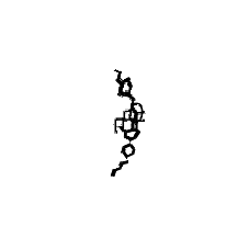 CCCCC[C@H]1CC[C@H](c2ccc(C(F)(F)OCCc3ccc(CCC)cc3)c(F)c2)CC1